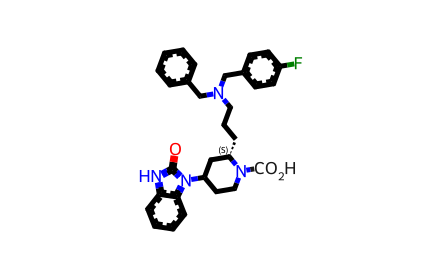 O=C(O)N1CCC(n2c(=O)[nH]c3ccccc32)C[C@@H]1CCCN(Cc1ccccc1)Cc1ccc(F)cc1